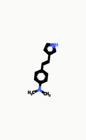 CN(C)c1ccc(C=Cc2cc[nH]c2)cc1